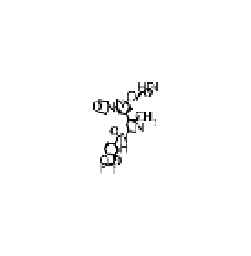 Cc1ncc(NC(=O)c2ccc3c(c2)OC(F)(F)O3)cc1-c1cc(OCCOPI)nc(N2CCOCC2)c1